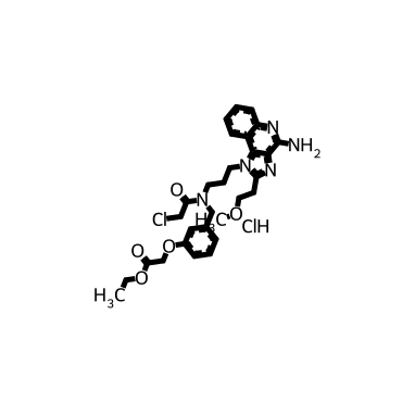 CCOC(=O)COc1cccc(CN(CCCn2c(CCOC)nc3c(N)nc4ccccc4c32)C(=O)CCl)c1.Cl